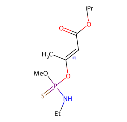 CCNP(=S)(OC)O/C(C)=C/C(=O)OC(C)C